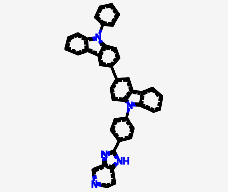 c1ccc(-n2c3ccccc3c3cc(-c4ccc5c(c4)c4ccccc4n5-c4ccc(-c5nc6cnccc6[nH]5)cc4)ccc32)cc1